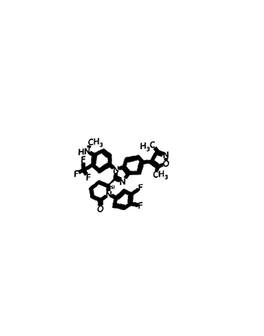 CNc1ccc(-n2c([C@@H]3CCCC(=O)N3c3ccc(F)c(F)c3)nc3cc(-c4c(C)noc4C)ccc32)cc1C(F)(F)F